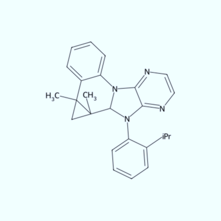 CC(C)c1ccccc1N1c2nccnc2N2c3ccccc3C3(C)CC3(C)C12